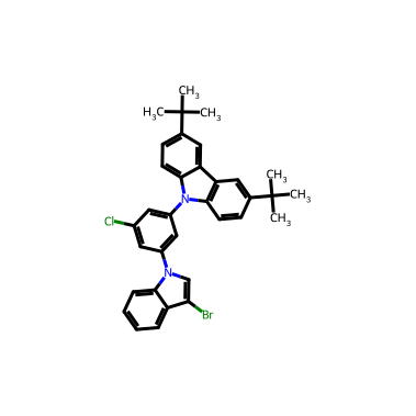 CC(C)(C)c1ccc2c(c1)c1cc(C(C)(C)C)ccc1n2-c1cc(Cl)cc(-n2cc(Br)c3ccccc32)c1